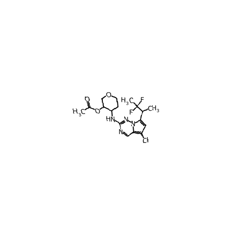 CC(=O)OC1COCCC1Nc1ncc2c(Cl)cc(C(C)C(C)(F)F)n2n1